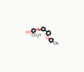 N#Cc1ccc(Oc2cccc(-c3cccc(COc4ccc(O)c(C(=O)O)c4)c3)c2)cc1